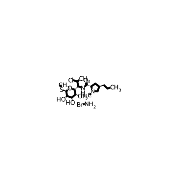 CCC[C@@H]1C[C@@H](C(=O)NC(C(C)Cl)[C@H]2O[C@H](SC)[C@H](O)[C@@H](O)[C@H]2O)N(C)C1.NBr